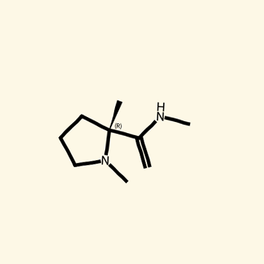 C=C(NC)[C@@]1(C)CCCN1C